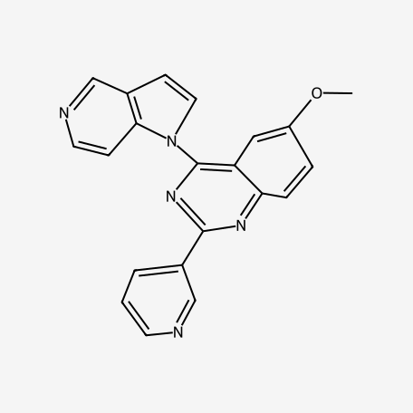 COc1ccc2nc(-c3cccnc3)nc(-n3ccc4cnccc43)c2c1